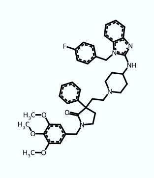 COc1cc(CN2CCC(CCN3CCC(Nc4nc5ccccc5n4Cc4ccc(F)cc4)CC3)(c3ccccc3)C2=O)cc(OC)c1OC